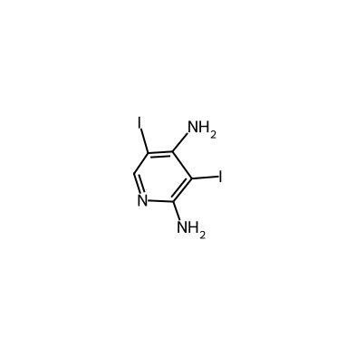 Nc1ncc(I)c(N)c1I